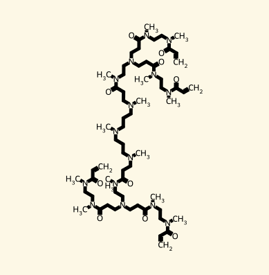 C=CC(=O)N(C)CCN(C)C(=O)CCN(CCC(=O)N(C)CCN(C)C(=O)C=C)CCN(C)C(=O)CCN(C)CCCN(C)CCCN(C)CCC(=O)N(C)CCN(CCC(=O)N(C)CCN(C)C(=O)C=C)CCC(=O)N(C)CCN(C)C(=O)C=C